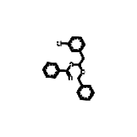 O=C(OC(Cc1cccc(Cl)c1)OCc1ccccc1)c1ccccc1